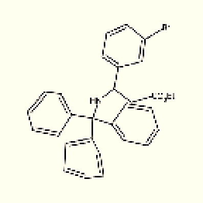 CCOC(=O)CC(NC(c1ccccc1)(c1ccccc1)c1ccccc1)c1cccc(Br)c1